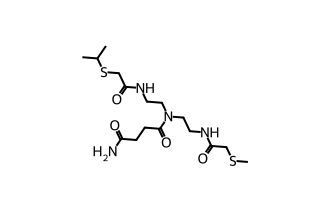 CSCC(=O)NCCN(CCNC(=O)CSC(C)C)C(=O)CCC(N)=O